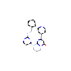 C[C@H](Nc1nccc(N2CCCn3c2nc(-c2ccncc2)cc3=O)n1)c1ccccc1